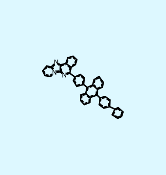 c1ccc(-c2ccc(-c3c4ccccc4c(-c4ccc(-c5nc6c(nc7ccccn76)c6ccccc56)cc4)c4ccccc34)cc2)cc1